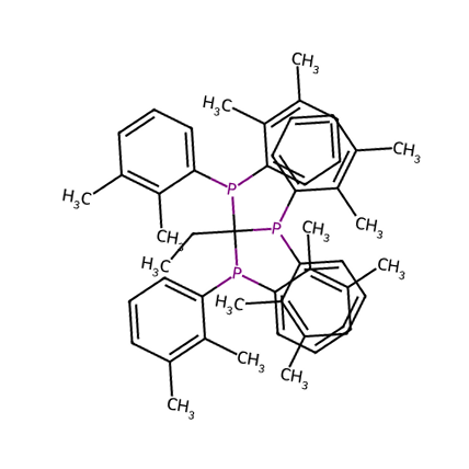 CCC(P(c1cccc(C)c1C)c1cccc(C)c1C)(P(c1cccc(C)c1C)c1cccc(C)c1C)P(c1cccc(C)c1C)c1cccc(C)c1C